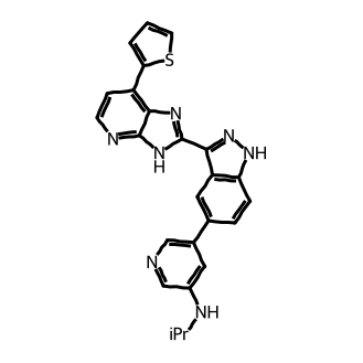 CC(C)Nc1cncc(-c2ccc3[nH]nc(-c4nc5c(-c6cccs6)ccnc5[nH]4)c3c2)c1